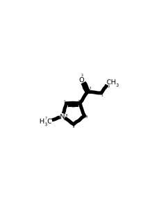 CCC(=O)C1=CN(C)CC1